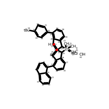 CC1=Cc2c(-c3cccc4ccccc34)cccc2[CH]1[Zr]([CH3])([CH3])(=[SiH2])[CH]1C(C(C)C)=Cc2c(-c3ccc(C(C)(C)C)cc3)cccc21.Cl.Cl